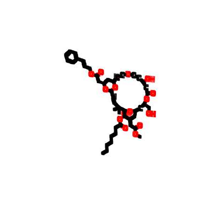 CCCCCCCC(=O)O[C@H]1/C(=C/C(=O)OC)CC2C[C@H](CO)OC(=O)C[C@H](O)CCOCC[C@@H]3C[C@H](CC(=O)OC/C=C/c4ccccc4)O[C@H](/C=C/C(C)(C)[C@]1(O)O2)O3